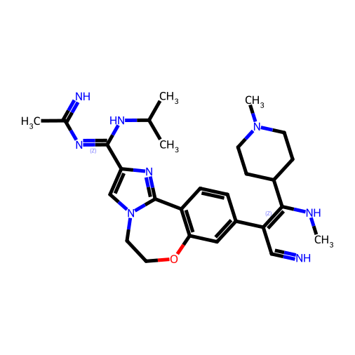 CN/C(=C(\C=N)c1ccc2c(c1)OCCn1cc(/C(=N/C(C)=N)NC(C)C)nc1-2)C1CCN(C)CC1